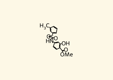 COC(=O)c1ccc(NS(=O)(=O)c2cccc(C)c2)cc1O